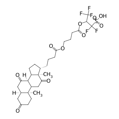 C[C@]12C(=O)CC3[C@@H](C(=O)C[C@@H]4CC(=O)CC[C@]34C)C1CC[C@@H]2CCCC(=O)OCCCC(=O)OC(C(F)(F)F)C(F)(F)S(=O)(=O)O